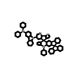 c1ccc(N(c2ccccc2)c2ccc3c(c2)c2ccccc2n3-c2cnc3c(c2)C2(c4ccccc4N(c4ccccc4)c4cc5c(cc42)-c2ccccc2C52c4ccccc4-c4ccccc42)c2cccnc2-3)cc1